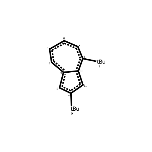 CC(C)(C)c1cc2ccccc(C(C)(C)C)c-2c1